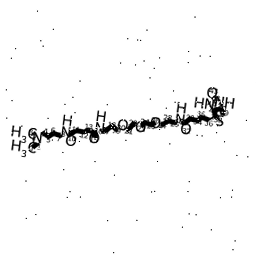 CCN(C)CCCCNC(=O)CCCC(=O)NCCCOCCOCCOCCCNC(=O)CCCC[C@@H]1SCC2NC(=O)NC21